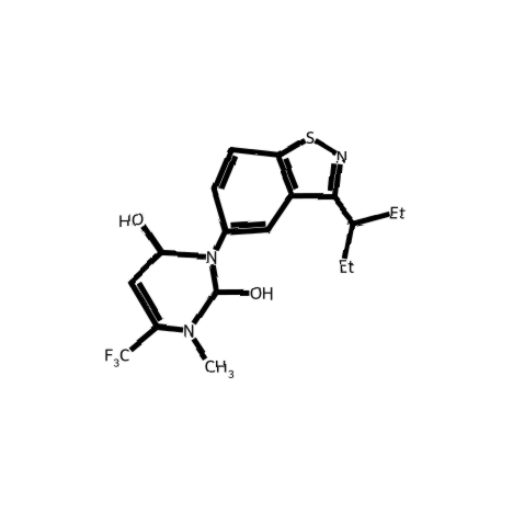 CC[C](CC)c1nsc2ccc(N3C(O)C=C(C(F)(F)F)N(C)C3O)cc12